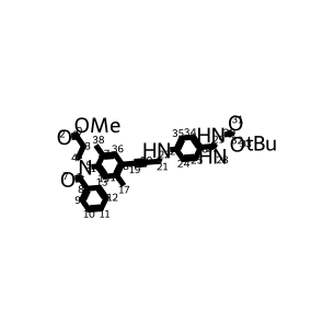 COC(=O)CCN(C(=O)c1ccccc1)c1cc(C)c(C#CCNc2ccc(C(=N)NC(=O)OC(C)(C)C)cc2)cc1C